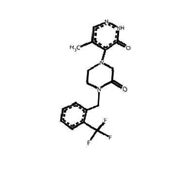 Cc1cn[nH]c(=O)c1N1CCN(Cc2ccccc2C(F)(F)F)C(=O)C1